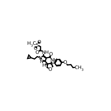 CCCCOc1ccc([C@@]23COC[C@@H]2c2nn(CCC4CC4)c(NC(=O)CS(C)(=O)=O)c2C(=O)N3)cc1